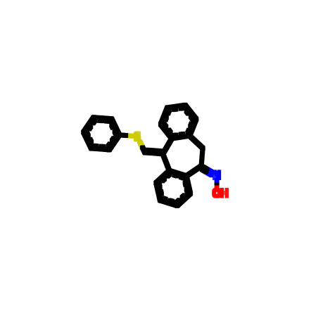 O/N=C1/Cc2ccccc2/C(=C\Sc2ccccc2)c2ccccc21